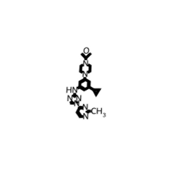 Cc1nccc(-n2cnc(Nc3cc(C4CC4)cc(N4CCN(C5COC5)CC4)c3)n2)n1